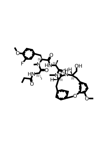 CCC(=O)N[C@@H](C)C(=O)N(C)[C@@H](Cc1ccc(OC)c(F)c1)C(=O)N[C@@H](C)C(=O)N(C)[C@H]1Cc2ccc(cc2)Oc2cc(ccc2OC)C[C@@H](CO)NC1=O